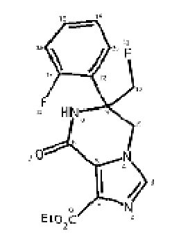 CCOC(=O)c1ncn2c1C(=O)NC(CF)(c1ccccc1F)C2